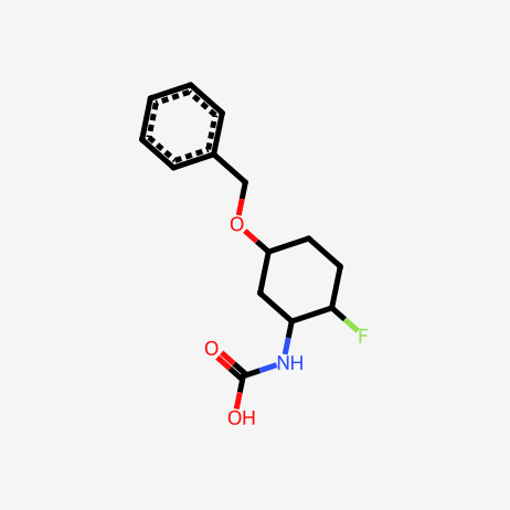 O=C(O)NC1CC(OCc2ccccc2)CCC1F